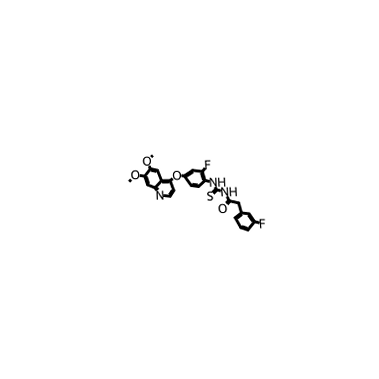 COc1cc2nccc(Oc3ccc(NC(=S)NC(=O)Cc4cccc(F)c4)c(F)c3)c2cc1OC